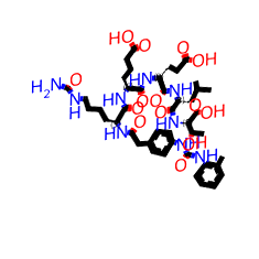 Cc1ccccc1NC(=O)Nc1ccc(CC(=O)N[C@@H](CCCCNC(N)=O)C(=O)N[C@@H](CCCC(=O)O)C(=O)N[C@H](CCC(=O)O)C(=O)N[C@H](CC(C)C)C(=O)N[C@H](C(=O)O)C(C)O)cc1